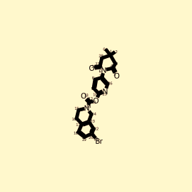 CC1(C)CC(=O)N(c2ccc(OC(=O)N3CCc4ccc(Br)cc4C3)nc2)C(=O)C1